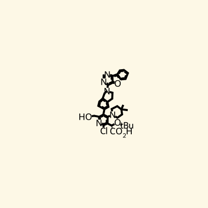 CC1(C)CCN(c2c(-c3ccc4c(c3)CCN(c3ncnc5c3oc3ccccc35)C4)c(CO)nc(Cl)c2[C@H](OC(C)(C)C)C(=O)O)CC1